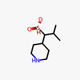 CC(C)C(C1CCNCC1)[SH](=O)=O